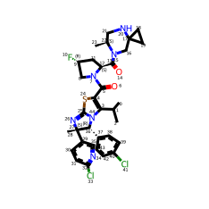 CC(C)C1=C(C(=O)N2C[C@H](F)C[C@H]2C(=O)N2CC3(CC3)NC[C@@H]2C)SC2=N[C@@](C)(c3ccc(Cl)nc3)[C@@H](c3ccc(Cl)cc3)N21